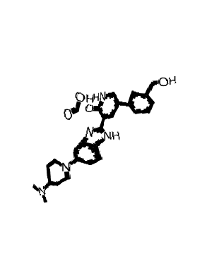 CN(C)C1CCN(c2ccc3[nH]c(-c4cc(-c5cccc(CO)c5)c[nH]c4=O)nc3c2)CC1.O=CO